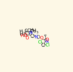 Cn1c(C(C)(C)C)c(C(=O)O)c2ccc(N3CCC(OCc4c(-c5c(Cl)cccc5Cl)noc4C4CC4)CC3)cc21